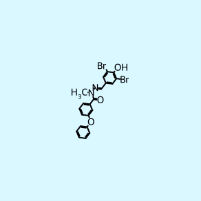 CN(N=Cc1cc(Br)c(O)c(Br)c1)C(=O)c1cccc(Oc2ccccc2)c1